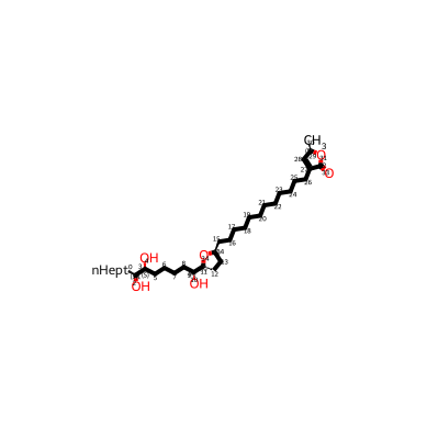 CCCCCCC[C@H](O)[C@@H](O)CCCC[C@@H](O)[C@H]1CC[C@H](CCCCCCCCCCCCC2=C[C@H](C)OC2=O)O1